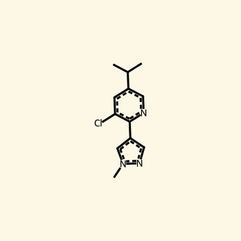 CC(C)c1cnc(-c2cnn(C)c2)c(Cl)c1